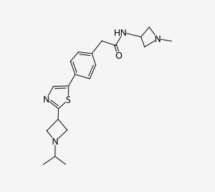 CC(C)N1CC(c2ncc(-c3ccc(CC(=O)NC4CN(C)C4)cc3)s2)C1